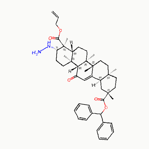 C=CCOC(=O)[C@]1(C)[C@@H](NN)CC[C@@]2(C)[C@H]1CC[C@]1(C)[C@@H]2C(=O)C=C2[C@@H]3C[C@@](C)(C(=O)OC(c4ccccc4)c4ccccc4)CC[C@]3(C)CC[C@]21C